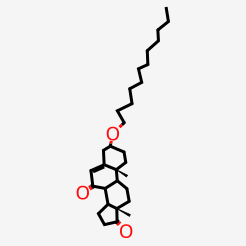 CCCCCCCCCCCCOC1CC[C@@]2(C)C(=CC(=O)C3C2CC[C@]2(C)C(=O)CCC32)C1